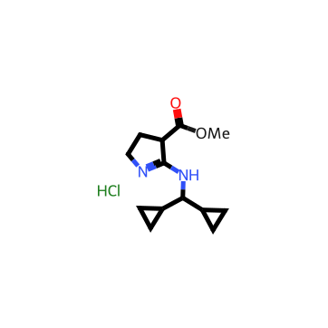 COC(=O)C1CCN=C1NC(C1CC1)C1CC1.Cl